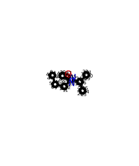 c1ccc(-c2cccc(-c3cccc(-c4nc(-c5cc(-c6ccccc6)cc(-c6ccccc6)c5)nc5oc6ccccc6c45)c3)c2)cc1